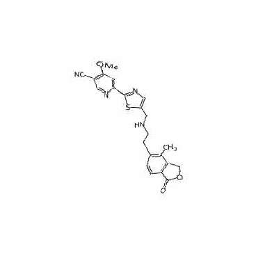 COc1cc(-c2ncc(CNCCc3ccc4c(c3C)COC4=O)s2)ncc1C#N